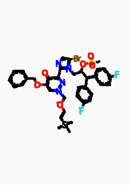 C[Si](C)(C)CCOCn1cc(OCc2ccccc2)c(=O)c(-c2ncc(Br)n2CC(OS(C)(=O)=O)C(c2ccc(F)cc2)c2ccc(F)cc2)n1